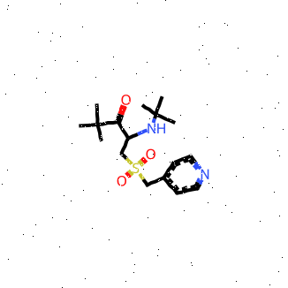 CC(C)(C)NC(CS(=O)(=O)Cc1ccncc1)C(=O)C(C)(C)C